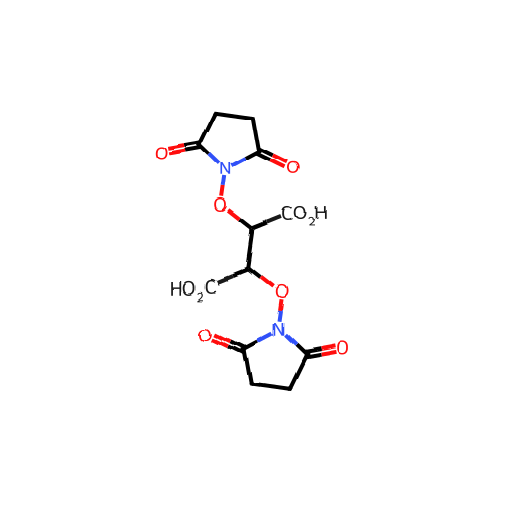 O=C(O)C(ON1C(=O)CCC1=O)C(ON1C(=O)CCC1=O)C(=O)O